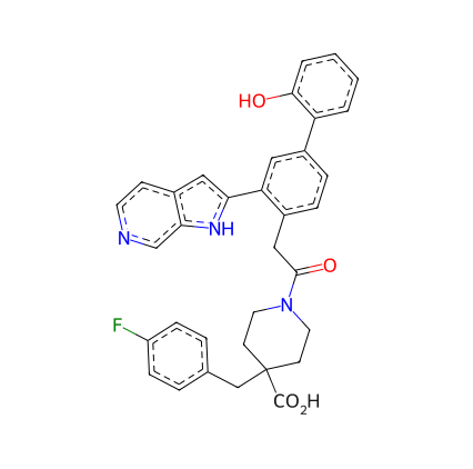 O=C(Cc1ccc(-c2ccccc2O)cc1-c1cc2ccncc2[nH]1)N1CCC(Cc2ccc(F)cc2)(C(=O)O)CC1